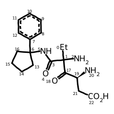 CCC(N)(C(=O)NC1(c2ccccc2)CCCC1)C(=O)[C@@H](N)CC(=O)O